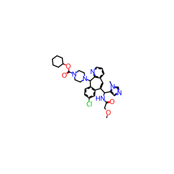 COCC(=O)NC(C1=Cc2cccnc2C(N2CCN(C(=O)OC3CCCCC3)CC2)c2ccc(Cl)cc21)c1cncn1C